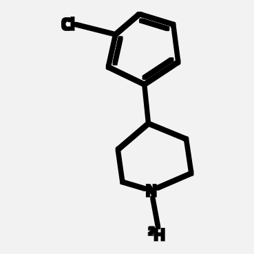 [2H]N1CCC(c2cccc(Cl)c2)CC1